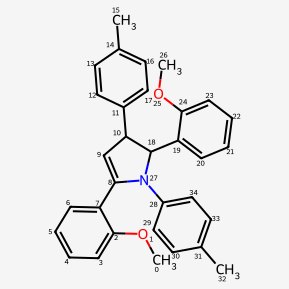 COc1ccccc1C1=CC(c2ccc(C)cc2)C(c2ccccc2OC)N1c1ccc(C)cc1